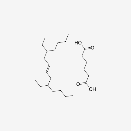 CCCCC(CC)CC=CCC(CC)CCCC.O=C(O)CCCCC(=O)O